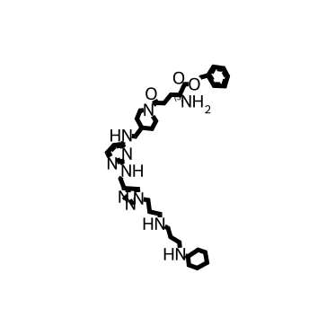 N[C@@H](CCC(=O)N1CCC(CNc2ccnc(NCc3cn(CCCNCCCNC4CCCCC4)nn3)n2)CC1)C(=O)OCc1ccccc1